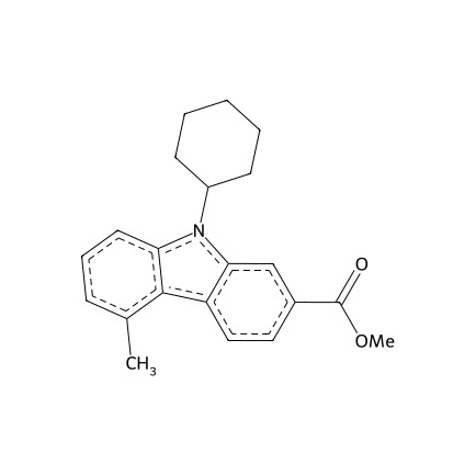 COC(=O)c1ccc2c3c(C)cccc3n(C3CCCCC3)c2c1